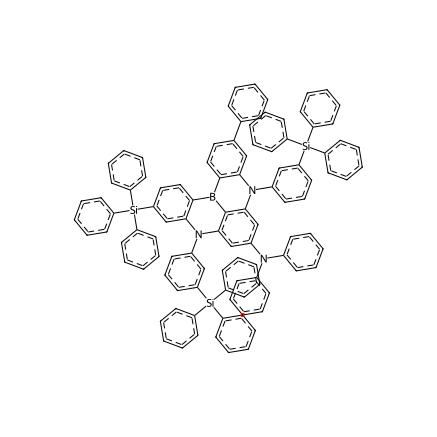 c1ccc(-c2ccc3c(c2)N(c2cccc([Si](c4ccccc4)(c4ccccc4)c4ccccc4)c2)c2cc(N(c4ccccc4)c4ccccc4)cc4c2B3c2ccc([Si](c3ccccc3)(c3ccccc3)c3ccccc3)cc2N4c2cccc([Si](c3ccccc3)(c3ccccc3)c3ccccc3)c2)cc1